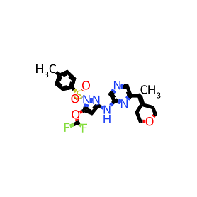 CC(=C1CCOCC1)c1cncc(Nc2cc(OC(F)F)n(S(=O)(=O)c3ccc(C)cc3)n2)n1